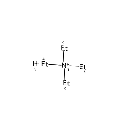 CC[N+](CC)(CC)CC.[H]